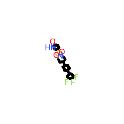 O=c1ccc(S(=O)(=O)N2CCC(c3ccc(-c4cc(F)c(F)c(F)c4)cc3)CC2)c[nH]1